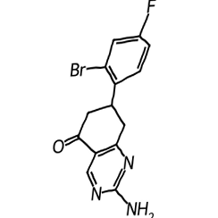 Nc1ncc2c(n1)CC(c1ccc(F)cc1Br)CC2=O